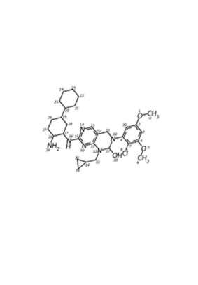 COc1cc(OC)c(Cl)c(N2Cc3cnc(NC4CC(C5CCCCC5)CCC4N)nc3N(CC3CC3)C2O)c1